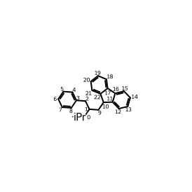 C[C](C)C(Cc1ccccc1)CC1c2ccccc2-c2ccccc21